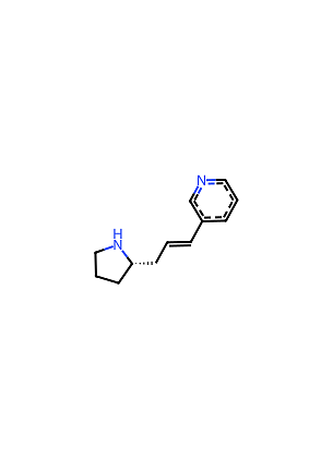 C(=C\c1cccnc1)/C[C@@H]1CCCN1